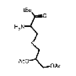 CC(=O)OCC(CSCC(N)C(=O)C(C)(C)C)OC(C)=O